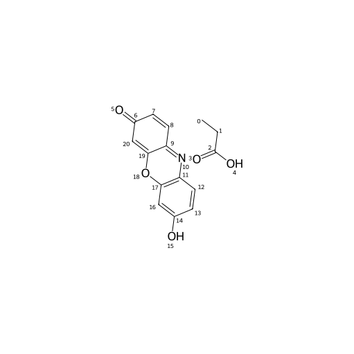 CCC(=O)O.O=c1ccc2nc3ccc(O)cc3oc-2c1